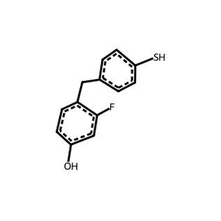 Oc1ccc(Cc2ccc(S)cc2)c(F)c1